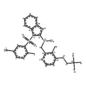 Cc1ccc(N=O)cc1S(=O)(=O)n1c([S+]([O-])Cc2nccc(OCC(C)(F)F)c2C)nc2ccccc21